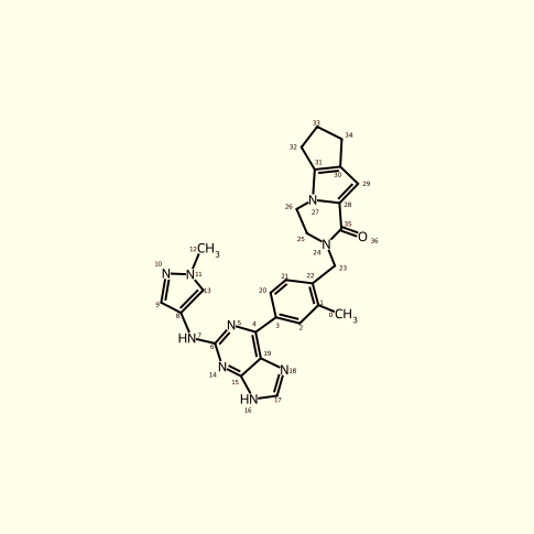 Cc1cc(-c2nc(Nc3cnn(C)c3)nc3[nH]cnc23)ccc1CN1CCn2c(cc3c2CCC3)C1=O